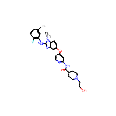 Cn1c(Nc2cc(C(C)(C)C)ccc2F)nc2cc(Oc3ccnc(NC(=O)C4CCN(CCO)CC4)c3)ccc21